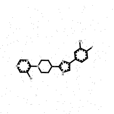 Fc1ccc(-c2c[nH]c(C3CCN(c4ncncc4Br)CC3)n2)cc1C(F)(F)F